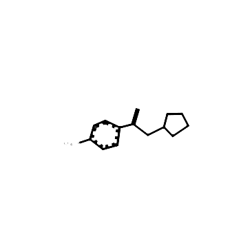 COc1ccc(C(=O)CC2CCCC2)cc1